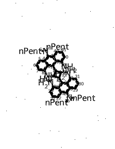 CCCCCN(CCCCC)c1c2cccc(N)c2c(C2C(O)C(c3c4c(N)cccc4c(N(CCCCC)CCCCC)c4cccc(N)c34)C2O)c2c(N)cccc12